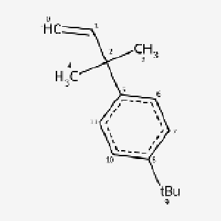 [CH]=CC(C)(C)c1ccc(C(C)(C)C)cc1